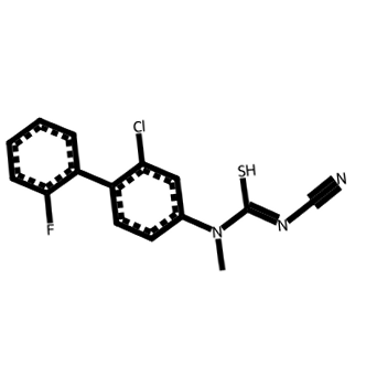 CN(/C(S)=N/C#N)c1ccc(-c2ccccc2F)c(Cl)c1